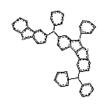 c1ccc(N(c2ccccc2)c2ccc3oc4c(c3c2)c2ccc(N(c3ccccc3)c3ccc5oc6ccccc6c5c3)cc2n4-c2ccccc2)cc1